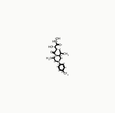 CC1C[C@@H]([C@H](O)C(=O)NO)C(=O)N2C(C)CN(c3ccc(C(F)(F)F)cc3)CC12